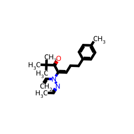 C=CN(/N=C\C)/C(=C/CCc1ccc(C)cc1)C(=O)C(C)(C)C